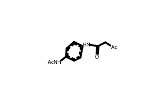 CC(=O)CC(=O)Nc1ccc(NC(C)=O)cc1